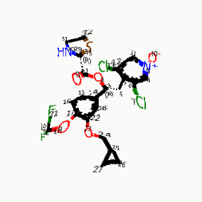 O=C(O[C@H](Cc1c(Cl)c[n+]([O-])cc1Cl)c1ccc(OC(F)F)c(OCC2CC2)c1)[C@@H]1NCCS1